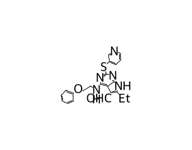 CCc1[nH]c2nc(Sc3cccnc3)nc(NCCOc3ccccc3)c2c1C=O